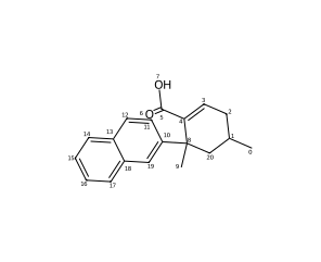 CC1CC=C(C(=O)O)C(C)(c2ccc3ccccc3c2)C1